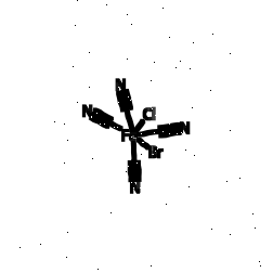 N#[C][Fe]([Cl])([Br])([C]#N)([C]#N)[C]#N